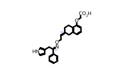 O=C(O)COc1cccc2c1CC/C(=C/CO/N=C(\Cc1cc[nH]c1)c1ccccc1)C2